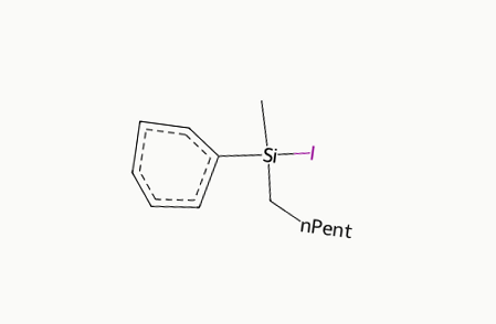 CCCCCC[Si](C)(I)c1ccccc1